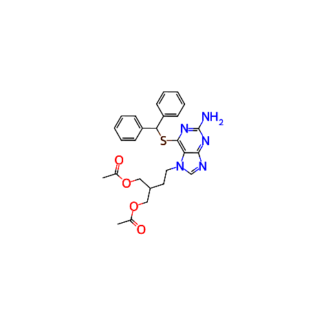 CC(=O)OCC(CCn1cnc2nc(N)nc(SC(c3ccccc3)c3ccccc3)c21)COC(C)=O